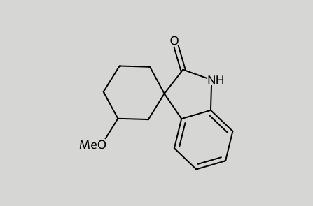 COC1CCCC2(C1)C(=O)Nc1ccccc12